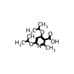 Cc1nc(OC(C)C)cc(OC(C)C)c1C(=O)O